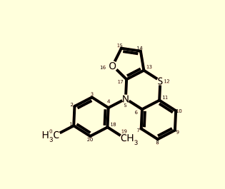 Cc1ccc(N2c3ccccc3Sc3ccoc32)c(C)c1